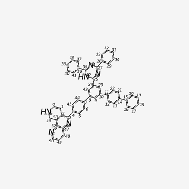 C1=Cc2c(-c3ccc(-c4cc(-c5ccc(-c6ccccc6)cc5)cc(C5N=C(c6ccccc6)N=C(c6ccccc6)N5)c4)cc3)nc3cccnc3c2CN1